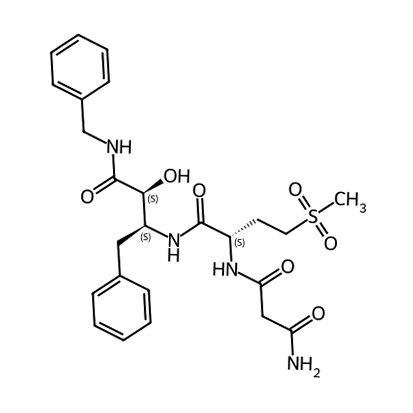 CS(=O)(=O)CC[C@H](NC(=O)CC(N)=O)C(=O)N[C@@H](Cc1ccccc1)[C@H](O)C(=O)NCc1ccccc1